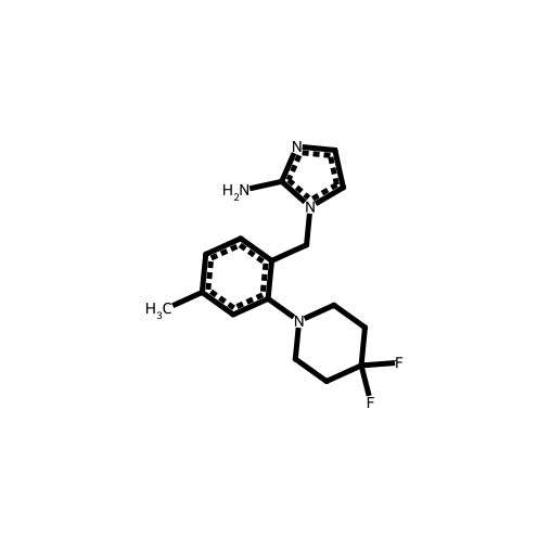 Cc1ccc(Cn2ccnc2N)c(N2CCC(F)(F)CC2)c1